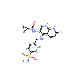 Cc1ccc2c(NCc3ccc(S(N)(=O)=O)cn3)c(NC(=O)C3CC3)cnc2n1